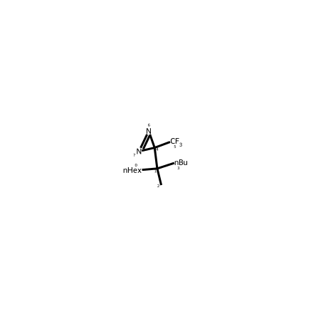 CCCCCCC(C)(CCCC)C1(C(F)(F)F)N=N1